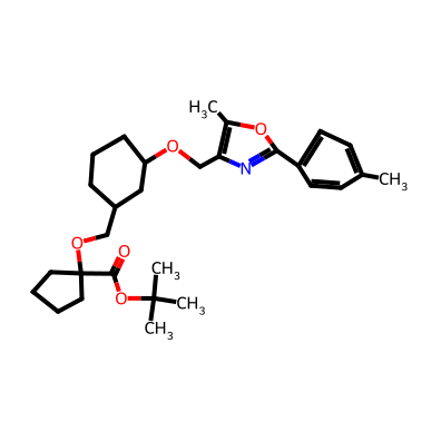 Cc1ccc(-c2nc(COC3CCCC(COC4(C(=O)OC(C)(C)C)CCCC4)C3)c(C)o2)cc1